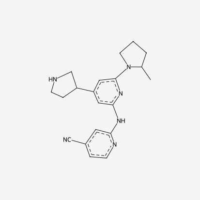 CC1CCCN1c1cc(C2CCNC2)cc(Nc2cc(C#N)ccn2)n1